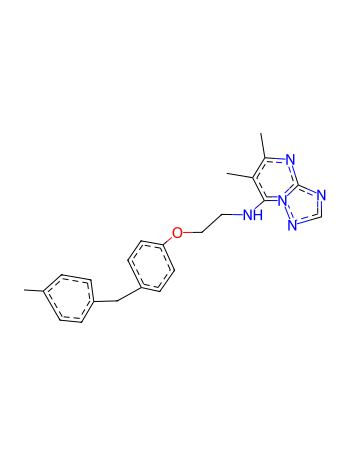 Cc1ccc(Cc2ccc(OCCNc3c(C)c(C)nc4ncnn34)cc2)cc1